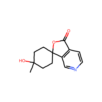 CC1(O)CCC2(CC1)OC(=O)c1ccncc12